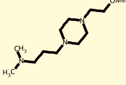 COCCN1CCN(CCCN(C)C)CC1